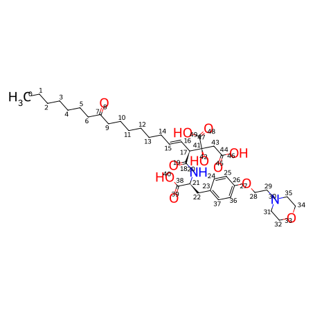 CCCCCCCC(=O)CCCCCC/C=C/[C@H](C(=O)N[C@@H](Cc1ccc(OCCN2CCOCC2)cc1)C(=O)O)[C@@](O)(CC(=O)O)C(=O)O